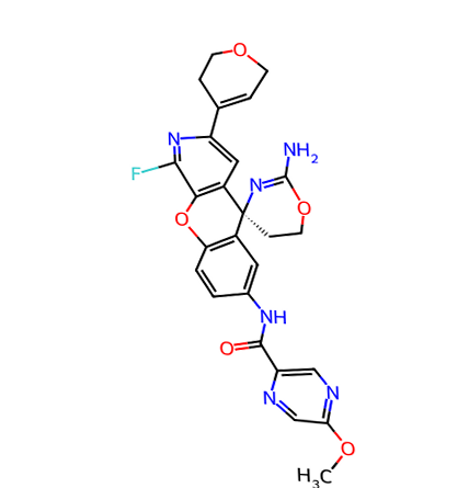 COc1cnc(C(=O)Nc2ccc3c(c2)[C@@]2(CCOC(N)=N2)c2cc(C4=CCOCC4)nc(F)c2O3)cn1